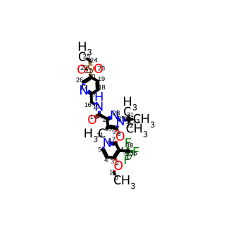 CCOc1ccnc(Oc2c(C)c(C(=O)NCc3ccc(S(=O)(=O)CC)cn3)nn2C(C)(C)C)c1C(F)(F)F